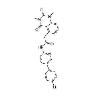 Cn1c(=O)c2c(CC(=O)Nc3ccc(-c4ccc(Cl)cc4)cn3)cccc2n(C)c1=O